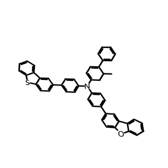 CC1CC(N(c2ccc(-c3ccc4oc5ccccc5c4c3)cc2)c2ccc(-c3ccc4sc5ccccc5c4c3)cc2)=CC=C1c1ccccc1